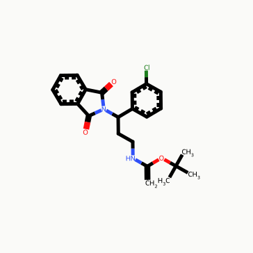 C=C(NCCC(c1cccc(Cl)c1)N1C(=O)c2ccccc2C1=O)OC(C)(C)C